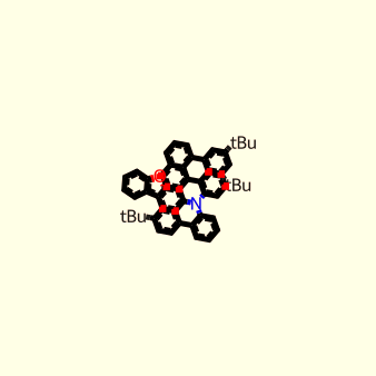 CC(C)(C)c1ccc(-c2ccccc2N(c2ccc3c(c2)oc2ccccc23)c2ccccc2-c2cccc3cccc(-c4cc(C(C)(C)C)cc(C(C)(C)C)c4)c23)cc1